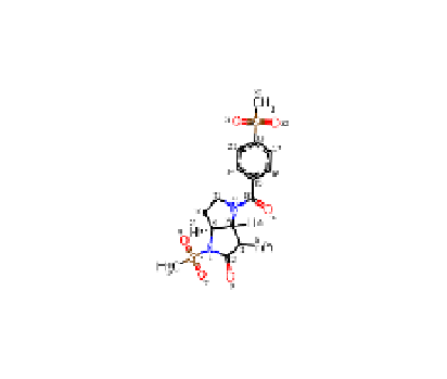 CCC[C@H]1C(=O)N(S(C)(=O)=O)[C@H]2CCN(C(=O)c3ccc(S(C)(=O)=O)cc3)[C@H]12